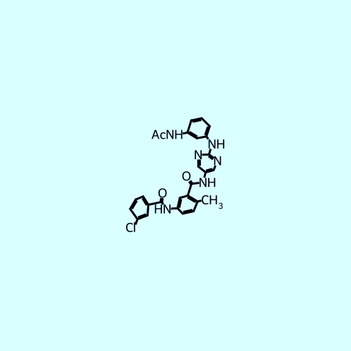 CC(=O)Nc1cccc(Nc2ncc(NC(=O)c3cc(NC(=O)c4cccc(Cl)c4)ccc3C)cn2)c1